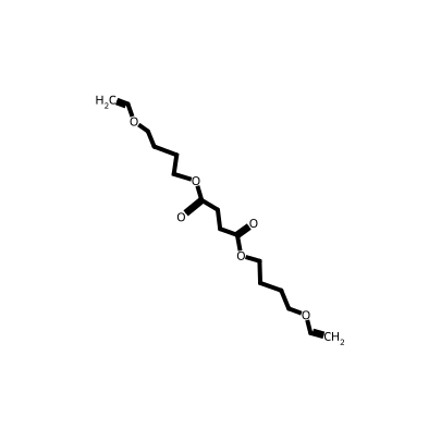 C=COCCCCOC(=O)CCC(=O)OCCCCOC=C